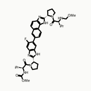 COCN[C@H](C(=O)N1CCC[C@H]1c1nc2ccc3cc(-c4cc5[nH]c([C@@H]6CCCN6C(=O)[C@@H](NC(=O)OC)C(C)C)nc5cc4F)ccc3c2[nH]1)C(C)C